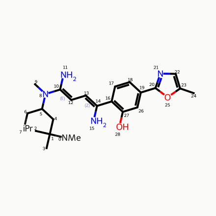 CNC(C)(C)CC(CC(C)C)N(C)/C(N)=C/C=C(\N)c1ccc(-c2ncc(C)o2)cc1O